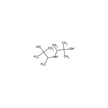 CC(NC(C)C(C)(C)O)C(C)(C)O